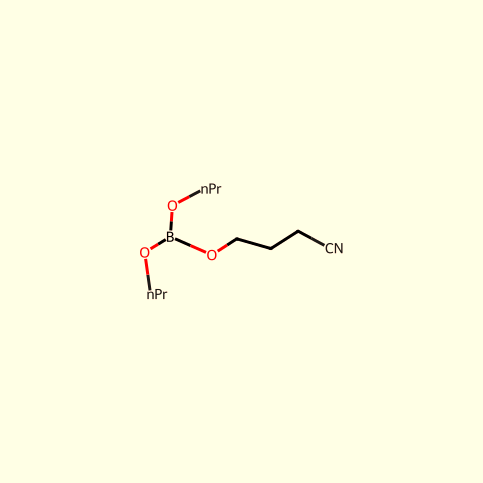 CCCOB(OCCC)OCCCC#N